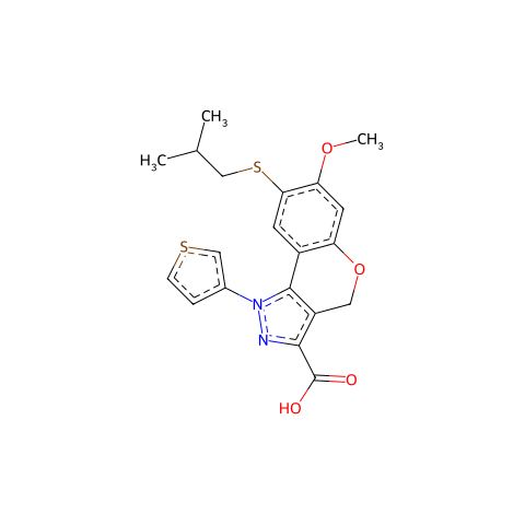 COc1cc2c(cc1SCC(C)C)-c1c(c(C(=O)O)nn1-c1ccsc1)CO2